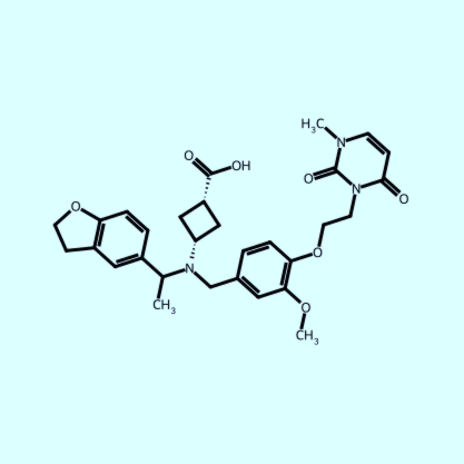 COc1cc(CN(C(C)c2ccc3c(c2)CCO3)[C@H]2C[C@@H](C(=O)O)C2)ccc1OCCn1c(=O)ccn(C)c1=O